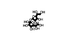 OC[C@H](O)[C@@H]1OC(O)(O[C@@H]2O[C@@H]([C@@H](O)CO)[C@@H](O)[C@@H]2O)[C@@H](O)[C@@H]1O